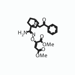 COC(=O)C=C(ON=C(N)C12CCC(CC1)N2CC(=O)c1ccccc1)C(=O)OC